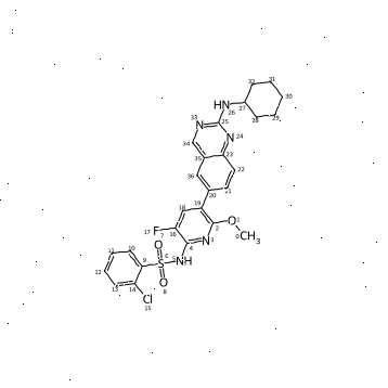 COc1nc(NS(=O)(=O)c2ccccc2Cl)c(F)cc1-c1ccc2nc(NC3CCCCC3)ncc2c1